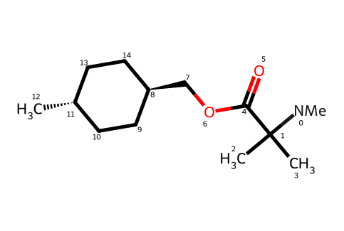 CNC(C)(C)C(=O)OC[C@H]1CC[C@H](C)CC1